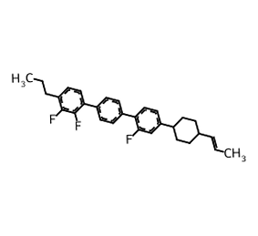 C/C=C/C1CCC(c2ccc(-c3ccc(-c4ccc(CCC)c(F)c4F)cc3)c(F)c2)CC1